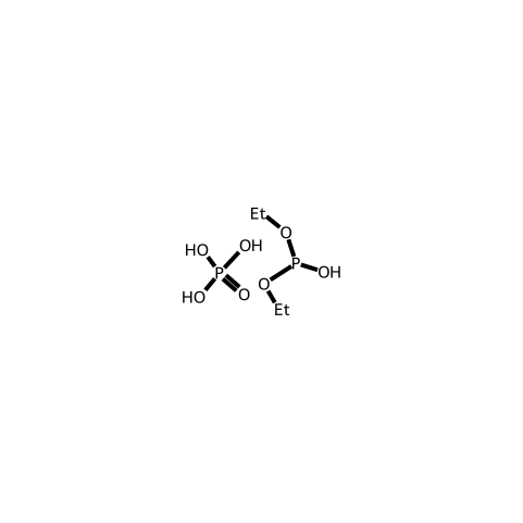 CCOP(O)OCC.O=P(O)(O)O